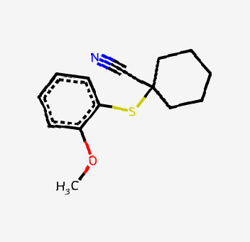 COc1ccccc1SC1(C#N)CCCCC1